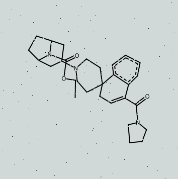 CCOC(=O)N1C2CCC1CC(N1CCC3(CC=C(C(=O)N4CCCC4)c4ccccc43)CC1)C2